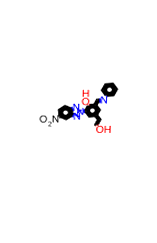 O=[N+]([O-])c1ccc2nn(-c3cc(CCO)cc(C=Nc4ccccc4)c3O)nc2c1